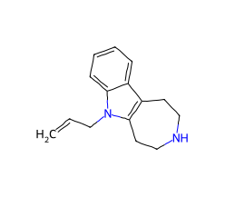 C=CCn1c2c(c3ccccc31)CCNCC2